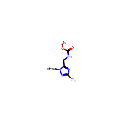 CCCCCCn1nc(C(F)(F)F)nc1CNC(=O)OC(C)(C)C